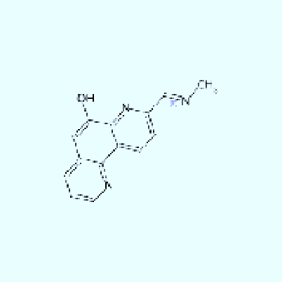 C/N=C/c1ccc2c(n1)c(O)cc1cccnc12